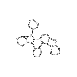 c1ccc(-n2c3ccccc3c3c4ccccc4c4c(ccc5sc6ccccc6c54)c32)cc1